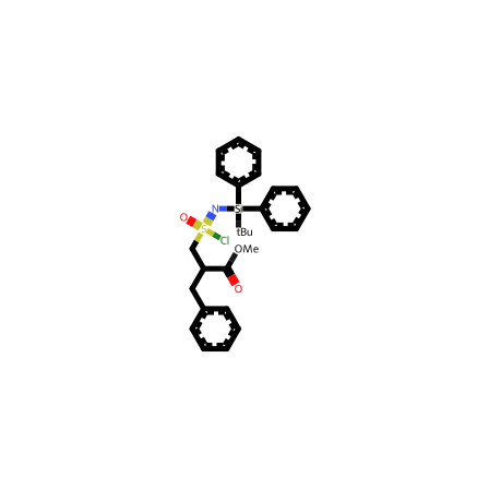 COC(=O)C(Cc1ccccc1)CS(=O)(Cl)=N[Si](c1ccccc1)(c1ccccc1)C(C)(C)C